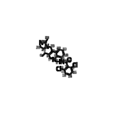 CCc1cnc2c(NC(=O)c3c(Cl)cccc3Cl)cccc2c1CN1CCN=C1C